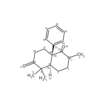 CN1CC[C@H]2C(C)(C)C(=O)CC[C@]2(c2ccccc2)C1=O